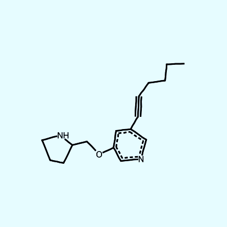 CCCCC#Cc1cncc(OCC2CCCN2)c1